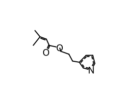 CC(C)=CC(=O)OCCCc1cccnc1